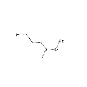 CC(=O)OC(C)CCCI